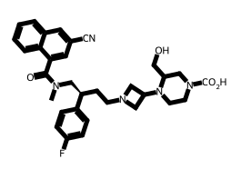 CN(C[C@@H](CCN1CC(N2CCN(C(=O)O)CC2CO)C1)c1ccc(F)cc1)C(=O)c1cc(C#N)cc2ccccc12